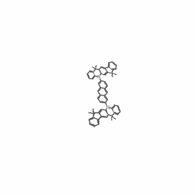 CC1(C)c2ccccc2-c2cc3c(cc21)N(c1ccc2cc4cc(N5c6ccccc6C(C)(C)c6cc7c(cc65)C(C)(C)c5ccccc5-7)ccc4cc2c1)c1ccccc1C3(C)C